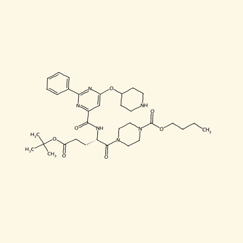 CCCCOC(=O)N1CCN(C(=O)[C@H](CCC(=O)OC(C)(C)C)NC(=O)c2cc(OC3CCNCC3)nc(-c3ccccc3)n2)CC1